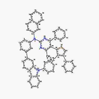 Cc1nc(N(c2cccc(-c3ccc4c5ccccc5n(-c5ccccc5)c4c3)c2)c2ccc3ccccc3c2)nc(-c2ccccc2)c1-c1scc(-c2ccccc2)c1C